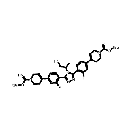 CC(CO)n1c(-c2ccc(C3=CCN(C(=N)OC(C)(C)C)CC3)cc2F)nnc1-c1ccc(C2=CCN(C(=O)OC(C)(C)C)CC2)cc1F